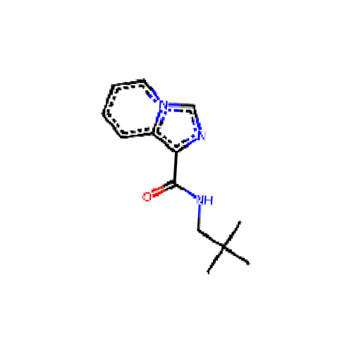 CC(C)(C)CNC(=O)c1ncn2ccccc12